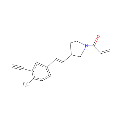 C#Cc1cc(/C=C/C2CCN(C(=O)C=C)C2)ccc1C(F)(F)F